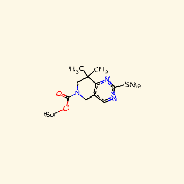 CSc1ncc2c(n1)C(C)(C)CN(C(=O)OC(C)(C)C)C2